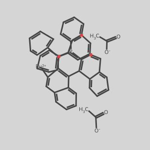 CC(=O)[O-].CC(=O)[O-].[Ru+2][c]1cc2ccccc2c(-c2c(P(c3ccccc3)c3ccccc3)ccc3ccccc23)c1P(c1ccccc1)c1ccccc1